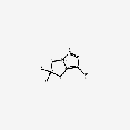 CC(C)c1cnn2c1CC(C)(C)C2